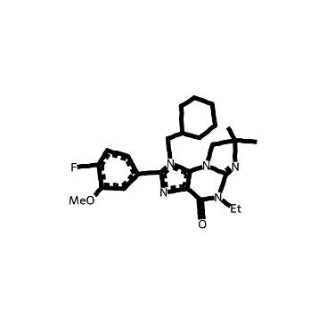 CCN1C(=O)c2nc(-c3ccc(F)c(OC)c3)n(CC3CCCCC3)c2N2CC(C)(C)N=C12